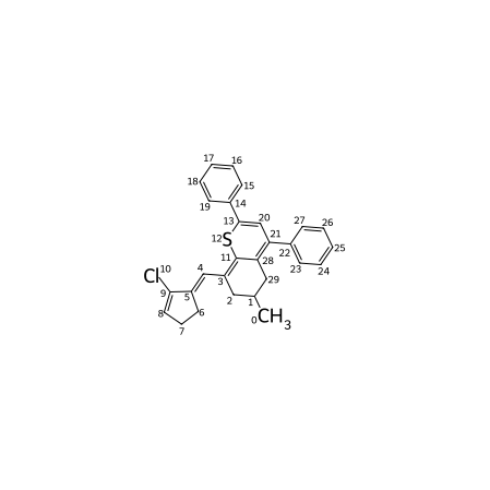 CC1CC(/C=C2\CCC=C2Cl)=C2SC(c3ccccc3)=CC(c3ccccc3)=C2C1